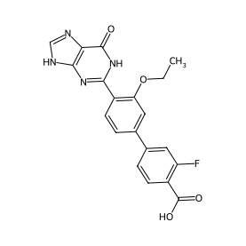 CCOc1cc(-c2ccc(C(=O)O)c(F)c2)ccc1-c1nc2[nH]cnc2c(=O)[nH]1